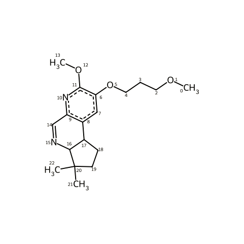 COCCCOc1cc2c(nc1OC)C=NC1C2CCC1(C)C